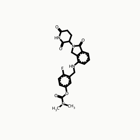 CN(C)C(=O)Oc1ccc(F)c(CNc2cccc3c2CN(C2CCC(=O)NC2=O)C3=O)c1